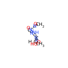 C=CC(=O)N1CC(CCn2c(=O)ccc3cnc(Nc4ccc(N5CCN(C(=O)C(C)(C)O)CC5)cc4)nc32)C1